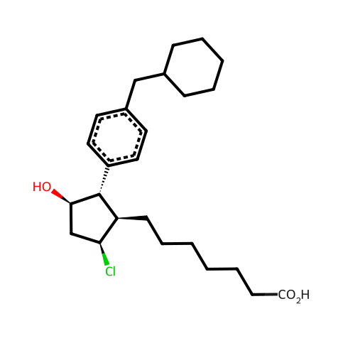 O=C(O)CCCCCC[C@@H]1[C@@H](c2ccc(CC3CCCCC3)cc2)[C@H](O)C[C@@H]1Cl